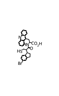 O=C(O)C(Cc1c2ccccc2nc2ccccc12)NC(=O)C(CS)C1CCc2cc(Br)ccc21